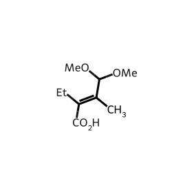 CCC(C(=O)O)=C(C)C(OC)OC